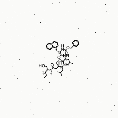 CC[C@H](C)[C@@H](CO)NC(=O)C[C@H](O)[C@H](CC(C)C)NC(=O)[C@H](CC(C)C)NC(=O)[C@H](Cc1cccc2ccccc12)NC(=O)OCc1ccccc1